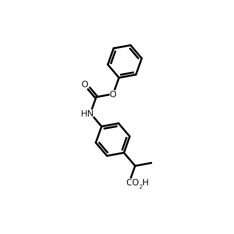 CC(C(=O)O)c1ccc(NC(=O)Oc2ccccc2)cc1